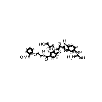 COc1ccccc1OCCNC(=O)c1ccc2nc(C(=O)c3nc4cc(NC(=N)N)ccc4[nH]3)n(CC(O)CO)c2c1